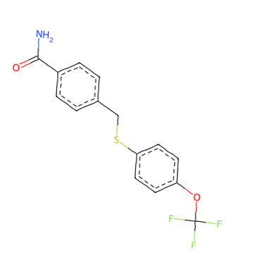 NC(=O)c1ccc(CSc2ccc(OC(F)(F)F)cc2)cc1